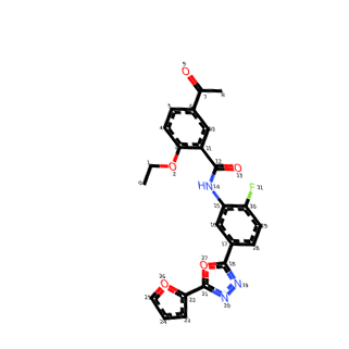 CCOc1ccc(C(C)=O)cc1C(=O)Nc1cc(-c2nnc(-c3ccco3)o2)ccc1F